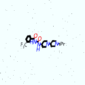 CC(C)N1CCC(N2CCC(NC(=O)NC(=O)c3cccc(C(F)(F)F)c3)CC2)CC1